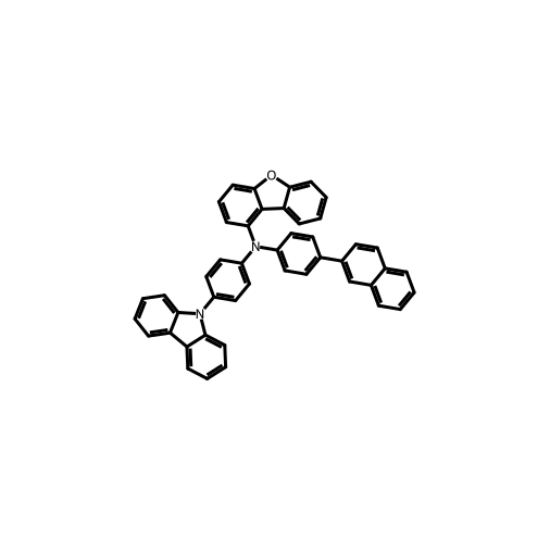 c1ccc2cc(-c3ccc(N(c4ccc(-n5c6ccccc6c6ccccc65)cc4)c4cccc5oc6ccccc6c45)cc3)ccc2c1